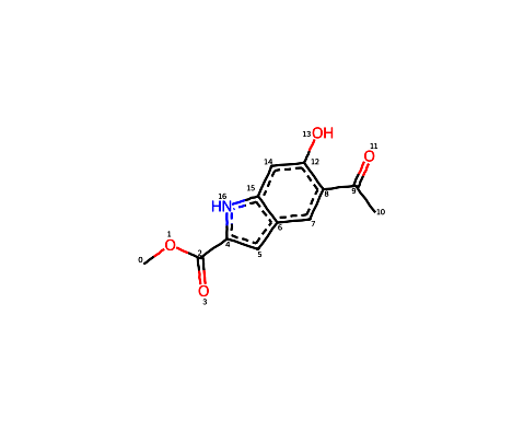 COC(=O)c1cc2cc(C(C)=O)c(O)cc2[nH]1